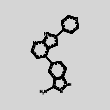 Nc1n[nH]c2ccc(-c3ccnc4[nH]c(-c5ccncc5)cc34)cc12